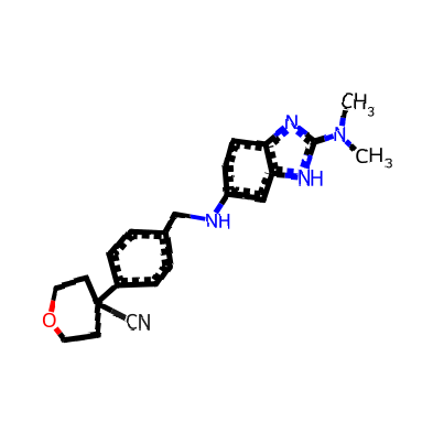 CN(C)c1nc2ccc(NCc3ccc(C4(C#N)CCOCC4)cc3)cc2[nH]1